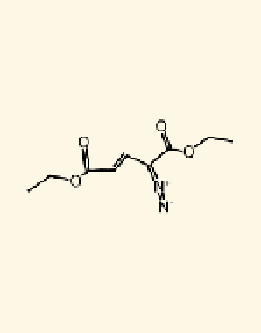 CCOC(=O)C=CC(=[N+]=[N-])C(=O)OCC